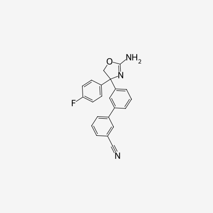 N#Cc1cccc(-c2cccc(C3(c4ccc(F)cc4)COC(N)=N3)c2)c1